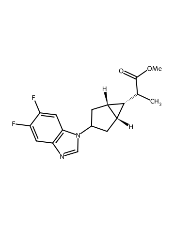 COC(=O)C(C)[C@@H]1[C@@H]2CC(n3cnc4cc(F)c(F)cc43)C[C@@H]21